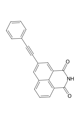 O=C1NC(=O)c2cc(C#Cc3ccccc3)cc3cccc1c23